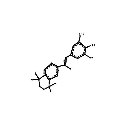 C/C(=C\c1cc(O)c(O)c(O)c1)c1ccc2c(c1)C(C)(C)CCC2(C)C